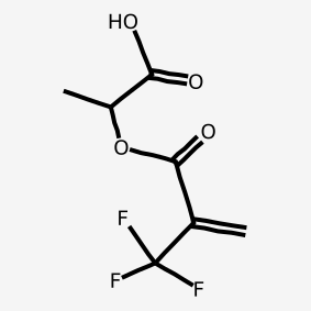 C=C(C(=O)OC(C)C(=O)O)C(F)(F)F